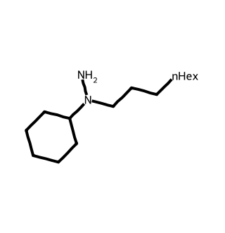 CCCCCCCCCN(N)C1CCCCC1